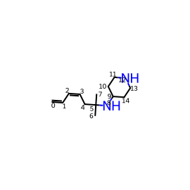 C=C/C=C\CC(C)(C)NC1CCNCC1